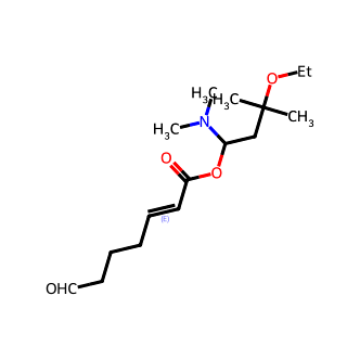 CCOC(C)(C)CC(OC(=O)/C=C/CCCC=O)N(C)C